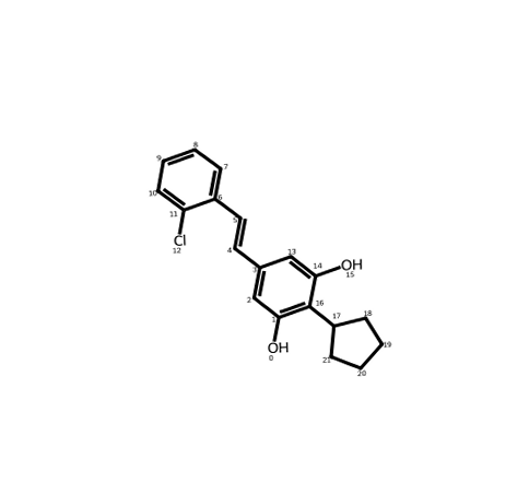 Oc1cc(C=Cc2ccccc2Cl)cc(O)c1C1CCCC1